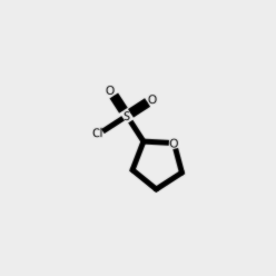 O=S(=O)(Cl)C1CCCO1